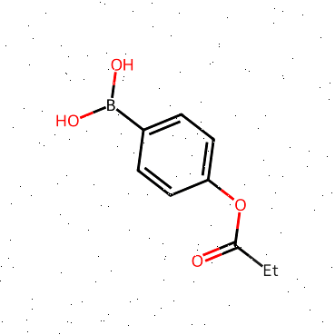 CCC(=O)Oc1ccc(B(O)O)cc1